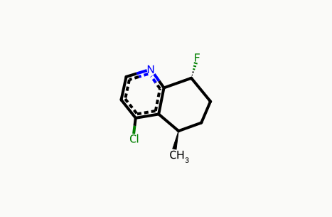 C[C@@H]1CC[C@@H](F)c2nccc(Cl)c21